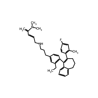 C=C(/C=C/CNCCCc1ccc(C2=C(c3ccc(F)cc3C)CCCc3ccccc32)c(CC)c1)N(C)C